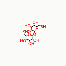 OC1C(O)[C@H](O)C(CS)O[C@H]1O[C@@H]1OC(CS)[C@@H](O)C(O)C1O